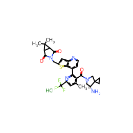 Cc1cc(C(F)(F)F)nc(-c2ccnc3cc(CN4C(=O)C5C(C4=O)C5(C)C)sc23)c1C(=O)N1C[C@@H](N)C2(CC2)C1.Cl